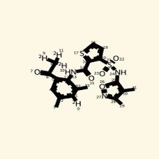 [2H]c1c(C)cc(C(=O)C([2H])([2H])[2H])c(NC(=O)c2sccc2S(=O)(=O)Nc2onc(C)c2C)c1C